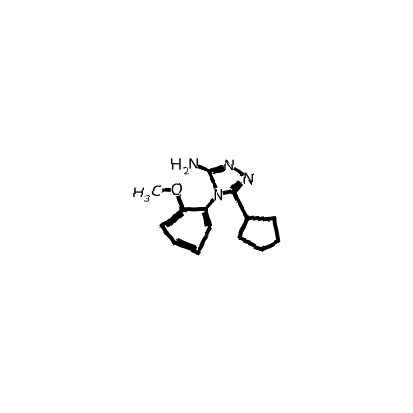 COc1ccccc1-n1c(N)nnc1C1CCCC1